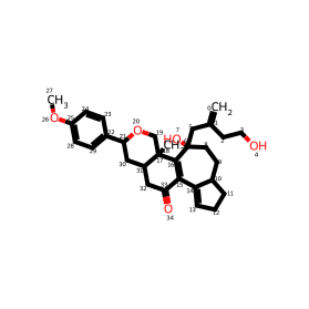 C=C(CCO)CC1(O)CCC2CCC=C2C2=C1C1(C)COC(c3ccc(OC)cc3)CC1CC2=O